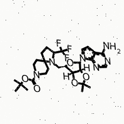 CC(C)(C)OC(=O)N1CCC2(CCC(C(F)(F)F)N2C[C@H]2O[C@@H](n3ccc4c(N)ncnc43)[C@@H]3OC(C)(C)O[C@@H]32)CC1